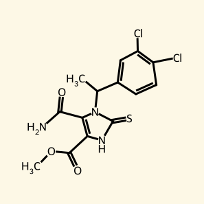 COC(=O)c1[nH]c(=S)n(C(C)c2ccc(Cl)c(Cl)c2)c1C(N)=O